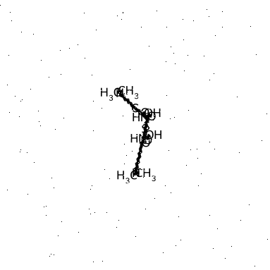 CN(C)CCCCCCCCCCCC(=O)NC(CCSSCCC(NC(=O)CCCCCCCCCCCN(C)C)C(=O)O)C(=O)O